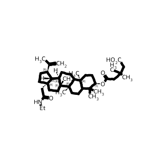 C=C(C)[C@@H]1CC[C@]2(CC(=O)NCC)CC[C@]3(C)[C@H](CCC4[C@@]5(C)CC[C@H](OC(=O)CC(C)(C)CC(=O)O)C(C)(C)C5CC[C@]43C)[C@@H]12